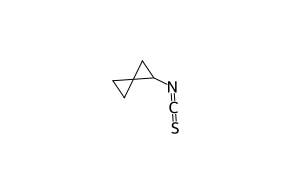 S=C=NC1CC12CC2